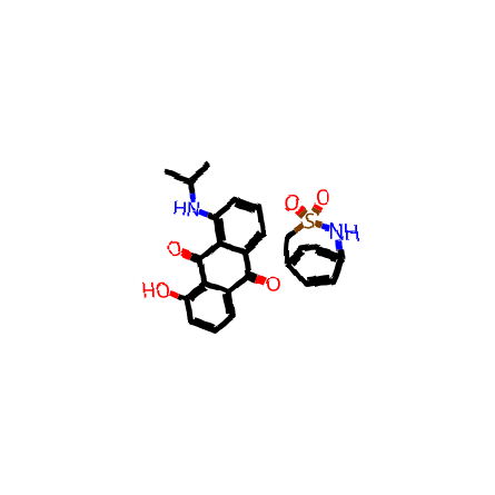 CC(C)Nc1cccc2c1C(=O)c1c(O)cccc1C2=O.O=S1(=O)Cc2ccc(cc2)N1